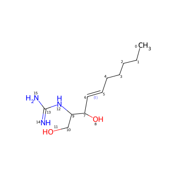 CCCCC/C=C/C(O)C(CO)NC(=N)N